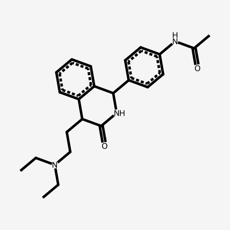 CCN(CC)CCC1C(=O)NC(c2ccc(NC(C)=O)cc2)c2ccccc21